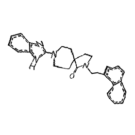 O=C1N(Cc2cccc3ccccc23)CCC12CCN(c1nc3ccccc3[nH]1)CC2